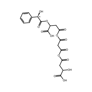 O=C(CC(=O)OC(=O)CC(OC(=O)[C@H](O)c1ccccc1)C(=O)O)OC(=O)CC(O)C(=O)O